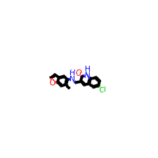 Cc1cc2occc2cc1NCc1cc2cc(Cl)ccc2[nH]c1=O